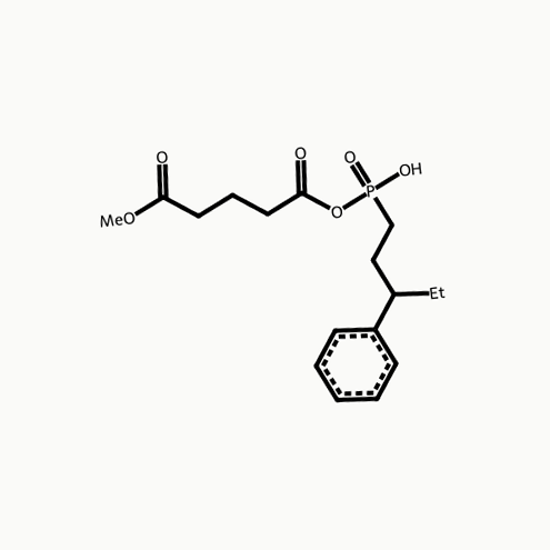 CCC(CCP(=O)(O)OC(=O)CCCC(=O)OC)c1ccccc1